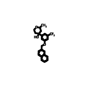 CC1CC(O)(c2cc(OCc3ccc4ccccc4c3)cc(C(F)(F)F)c2)CCO1